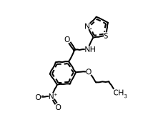 CCCOc1cc([N+](=O)[O-])ccc1C(=O)Nc1nccs1